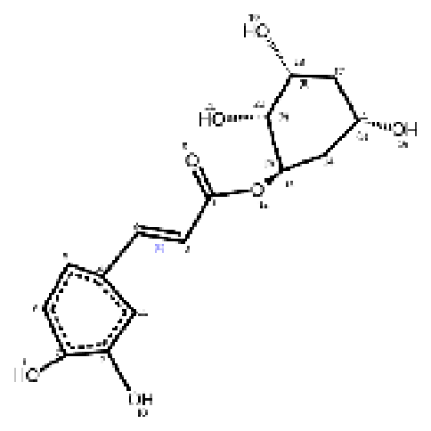 O=C(/C=C/c1ccc(O)c(O)c1)O[C@@H]1C[C@@H](O)C[C@@H](O)[C@H]1O